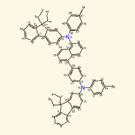 CCC1(CC)c2ccccc2-c2ccc(N(c3ccc(C)cc3)c3ccc(-c4cccc5c(N(c6ccc(C)cc6)c6ccc7c(c6)C(CC)(CC)c6ccccc6-7)cccc45)cc3)cc21